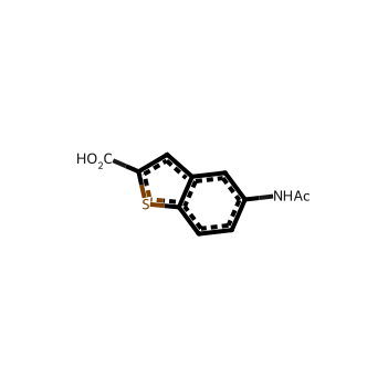 CC(=O)Nc1ccc2sc(C(=O)O)cc2c1